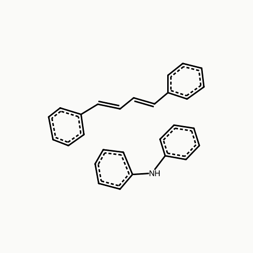 C(/C=C/c1ccccc1)=C\c1ccccc1.c1ccc(Nc2ccccc2)cc1